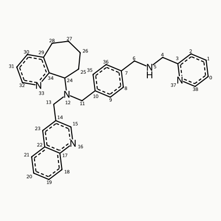 c1ccc(CNCc2ccc(CN(Cc3cnc4ccccc4c3)C3CCCCc4cccnc43)cc2)nc1